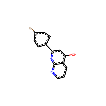 Oc1cc(-c2ccc(Br)cc2)nc2ncccc12